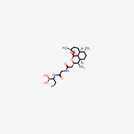 CC(C)CC(NC(=O)CNC(=O)C[C@H]1O[C@@H]2O[C@@]3(C)CC[C@H]4[C@H](C)CC[C@@H]([C@H]1C)[C@@]24OO3)B(O)O